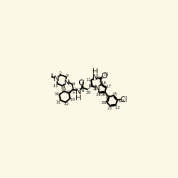 CN1CCN(C[C@@H](NC(=O)C[C@@H]2CNC(=O)c3cc(-c4cccc(Cl)c4)cn32)C2CCCCC2)CC1